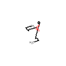 CCCCCC1CC1CC1CC1CCCCCCCC(=O)OC[C@H](COCc1ccccc1)OC(=O)CCCCCCCC1CC1CC1CC1CCCCC